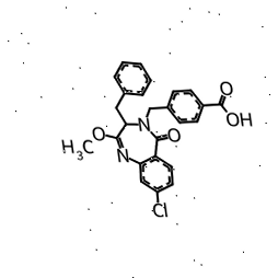 COC1=Nc2cc(Cl)ccc2C(=O)N(Cc2ccc(C(=O)O)cc2)C1Cc1ccccc1